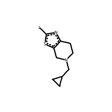 Ic1nc2c(s1)CN(CC1CC1)CC2